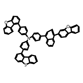 c1ccc2c(c1)oc1cc(-c3ccc(-c4ccc(N(c5ccc(-c6cccc7oc8ccccc8c67)cc5)c5ccc(-c6cccc7sc8ccccc8c67)cc5)cc4)c4ccccc34)ccc12